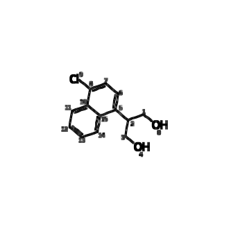 OCC(CO)c1ccc(Cl)c2ccccc12